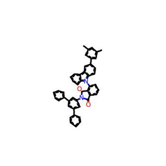 Cc1cc(C)cc(-c2ccc3c(c2)c2ccccc2n3-c2cccc3c2C(=O)N(c2cc(-c4ccccc4)cc(-c4ccccc4)c2)C3=O)c1